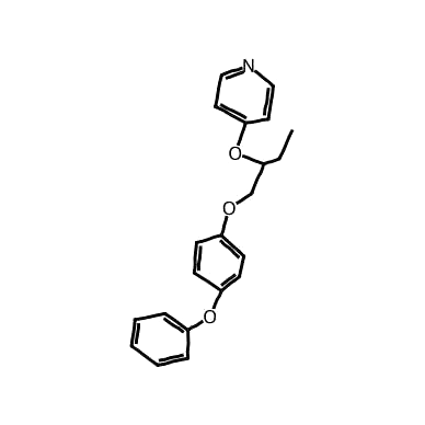 CCC(COc1ccc(Oc2ccccc2)cc1)Oc1ccncc1